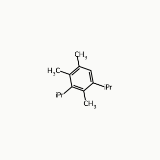 Cc1cc(C(C)C)c(C)c(C(C)C)c1C